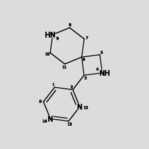 c1cc(C2NCC23CCNCC3)ncn1